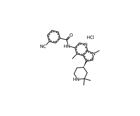 Cc1c(NC(=O)c2cccc(C#N)c2)cnc2c1c([C@@H]1CCNC(C)(C)C1)cn2C.Cl